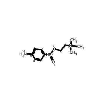 C[N+](C)(C)CCO[PH](=O)c1ccc(N)cc1